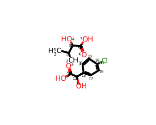 CC(C)C(O)C(=O)O.O=C(O)C(O)c1ccc(Cl)cc1